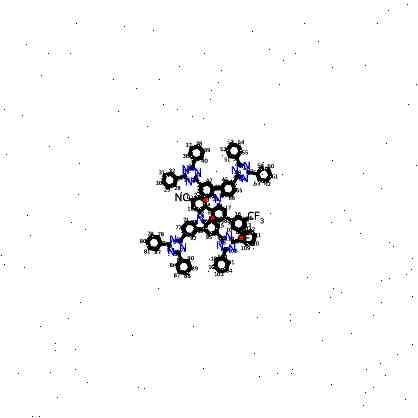 N#Cc1ccc(-c2ccc(-c3cc(C(F)(F)F)cc(C(F)(F)F)c3)cc2-n2c3ccc(-c4nc(-c5ccccc5)nc(-c5ccccc5)n4)cc3c3cc(-c4nc(-c5ccccc5)nc(-c5ccccc5)n4)ccc32)c(-n2c3ccc(-c4nc(-c5ccccc5)nc(-c5ccccc5)n4)cc3c3cc(-c4nc(-c5ccccc5)nc(-c5ccccc5)n4)ccc32)c1